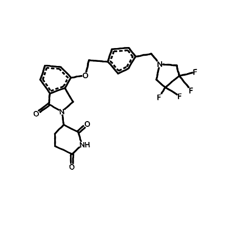 O=C1CCC(N2Cc3c(OCc4ccc(CN5CC(F)(F)C(F)(F)C5)cc4)cccc3C2=O)C(=O)N1